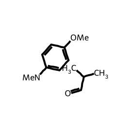 CC(C)C=O.CNc1ccc(OC)cc1